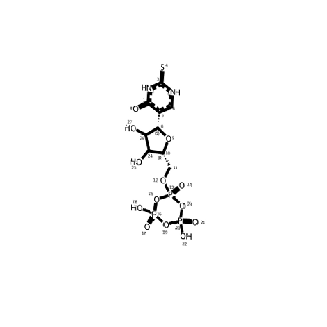 O=c1[nH]c(=S)[nH]cc1[C@@H]1O[C@H](COP2(=O)OP(=O)(O)OP(=O)(O)O2)C(O)C1O